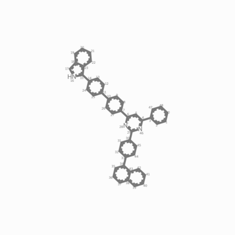 c1ccc(-c2cc(-c3ccc(-c4ccc(-c5[nH]cc6ccccc56)cc4)cc3)nc(-c3ccc(-c4cccc5ccccc45)cc3)n2)cc1